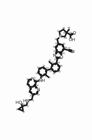 Cc1c(Nc2nccc3cc(CNCC4(O)CC4)cnc23)cccc1-c1cccc(-c2nc3cc(CN4CCC(C)(C(=O)O)C4)cc(C#N)c3o2)c1C